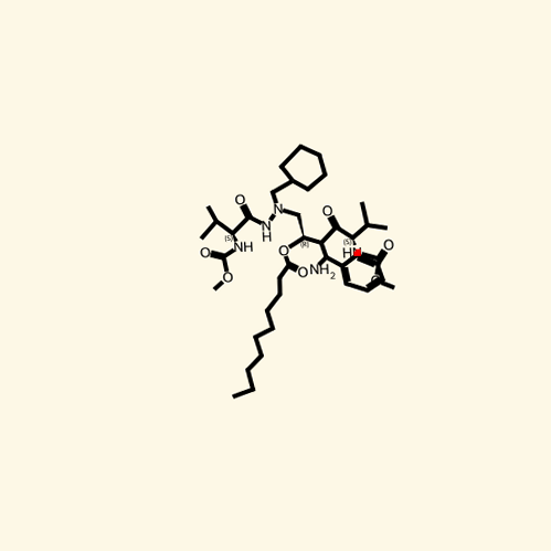 CCCCCCCCCC(=O)O[C@@H](CN(CC1CCCCC1)NC(=O)[C@@H](NC(=O)OC)C(C)C)C(C(=O)[C@@H](NC(=O)OC)C(C)C)C(N)c1ccccc1